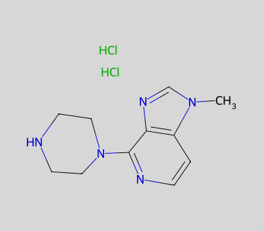 Cl.Cl.Cn1cnc2c(N3CCNCC3)nccc21